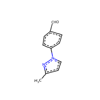 Cc1ccn(-c2ccc(C=O)cc2)n1